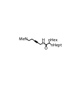 CCCCCCCC(CCCCCC)C(=O)NCC#CCCNC